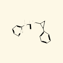 S=C(Nc1ccccn1)NC1CC1c1ccccc1